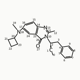 CC[C@H](Cc1ccccc1)n1c(C)nc2ccc(N(C)C3CCC3)cc2c1=O